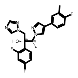 Cc1cc(-c2cnn([C@H](C)[C@](O)(Cn3cncn3)c3ccc(F)cc3F)c2)ccc1F